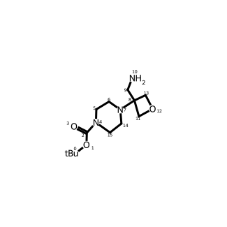 CC(C)(C)OC(=O)N1CCN(C2(CN)COC2)CC1